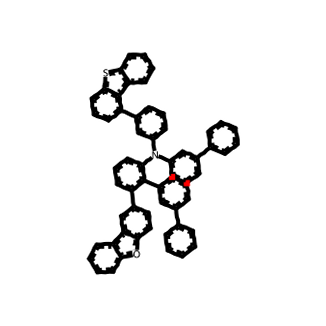 c1ccc(-c2cccc(-c3c(-c4ccc5oc6ccccc6c5c4)cccc3N(c3cccc(-c4ccccc4)c3)c3cccc(-c4cccc5sc6ccccc6c45)c3)c2)cc1